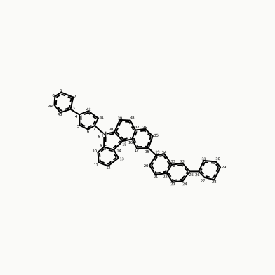 c1ccc(-c2ccc(-n3c4ccccc4c4c5cc(-c6ccc7ccc(-c8ccccc8)cc7c6)ccc5ccc43)cc2)cc1